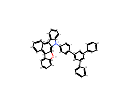 c1ccc(-c2cc(-c3ccccc3)cc(-c3ccc(-n4c5ccccc5c5c6ccccc6c6c7ccccc7oc6c54)cc3)c2)cc1